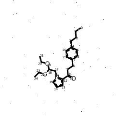 CCCCc1ccc(CCC(=O)c2cccn2CC(OCC)OCC)cc1